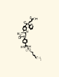 CCCCCCOC(=O)NC(=N)c1ccc(N(CCl)Cc2nc3cc(C(=O)N(CCC(=O)O)c4ccccn4)ccc3n2C)cc1